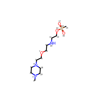 CN1CCN(CCOCCNCCOS(C)(=O)=O)CC1